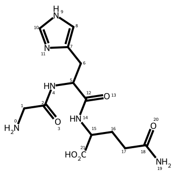 NCC(=O)NC(Cc1c[nH]cn1)C(=O)NC(CCC(N)=O)C(=O)O